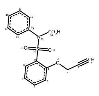 C#CCOc1ccccc1S(=O)(=O)N(C(=O)O)c1ccccc1